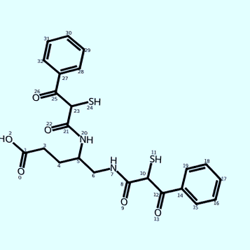 O=C(O)CCC(CNC(=O)C(S)C(=O)c1ccccc1)NC(=O)C(S)C(=O)c1ccccc1